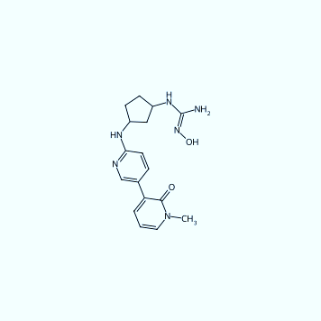 Cn1cccc(-c2ccc(NC3CCC(NC(N)=NO)C3)nc2)c1=O